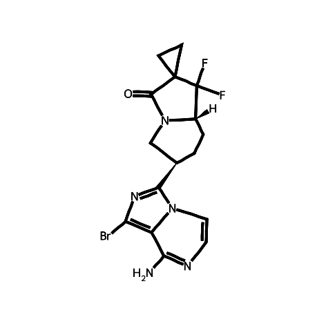 Nc1nccn2c([C@@H]3CC[C@@H]4N(C3)C(=O)C3(CC3)C4(F)F)nc(Br)c12